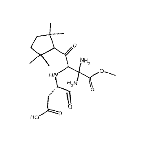 COC(=O)C(N)(N)C(N[C@H](C=O)CC(=O)O)C(=O)C1C(C)(C)CCC1(C)C